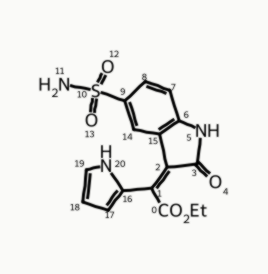 CCOC(=O)/C(=C1\C(=O)Nc2ccc(S(N)(=O)=O)cc21)c1ccc[nH]1